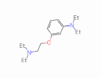 CCN(CC)CCOc1cccc(N(CC)CC)c1